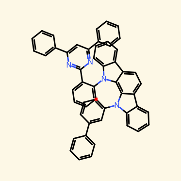 c1ccc(-c2cccc(-n3c4ccccc4c4ccc5c6ccccc6n(-c6ccccc6-c6nc(-c7ccccc7)cc(-c7ccccc7)n6)c5c43)c2)cc1